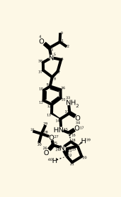 CC(C)C(=O)N1CCC(c2ccc(C[C@H](NC(=O)[C@@H]3[C@H]4CC[C@H](C4)N3C(=O)OC(C)(C)C)C(N)=O)cc2)CC1